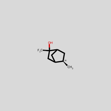 C[C@@H]1CC2CC1CC2(O)C(F)(F)F